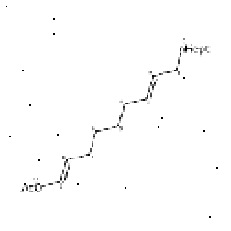 CCCCCCCCC=CCCCCC=COC(C)=O